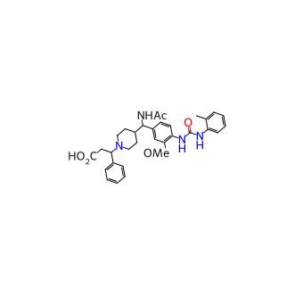 COc1cc(C(NC(C)=O)C2CCN(C(CC(=O)O)c3ccccc3)CC2)ccc1NC(=O)Nc1ccccc1C